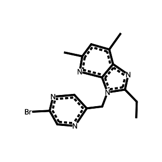 CCc1nc2c(C)cc(C)nc2n1Cc1cnc(Br)cn1